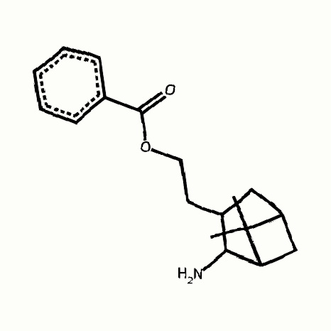 CC1(C)C2CC(CCOC(=O)c3ccccc3)C(N)C1C2